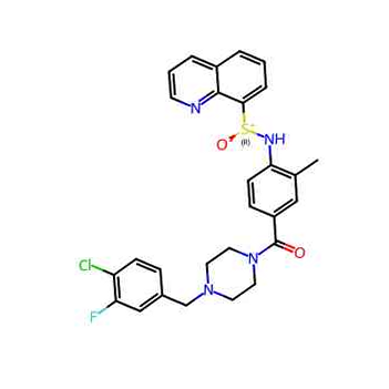 Cc1cc(C(=O)N2CCN(Cc3ccc(Cl)c(F)c3)CC2)ccc1N[S@@+]([O-])c1cccc2cccnc12